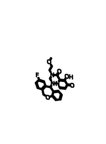 COCCN1CN(C2c3cc(F)ccc3COc3ccccc32)n2ccc(=O)c(O)c2C1=O